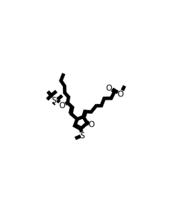 CCCCCC(C=CC1C=C(SC)C(=O)C1=CCCCCCC(=O)OC)O[Si](C)(C)C(C)(C)C